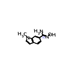 Cn1ccc2ccc(/C(N)=N/O)cc21